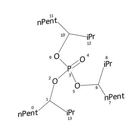 CCCCCC(OP(=O)(OC(CCCCC)C(C)C)OC(CCCCC)C(C)C)C(C)C